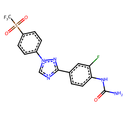 NC(=O)Nc1ccc(-c2ncn(-c3ccc(S(=O)(=O)C(F)(F)F)cc3)n2)cc1F